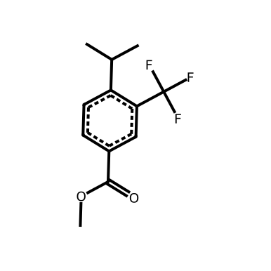 COC(=O)c1ccc(C(C)C)c(C(F)(F)F)c1